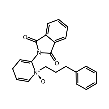 O=C1c2ccccc2C(=O)N1C1=CCC=C[N@@+]1([O-])CCCc1ccccc1